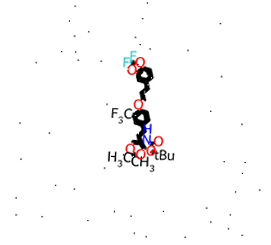 CC(C)(C)OC(=O)NC1(CCc2ccc(OCCCc3ccc4c(c3)OC(F)(F)O4)c(C(F)(F)F)c2)COC(C)(C)OC1